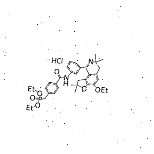 CCOc1cc2c(c3c1OC(C)(C)C3)C(c1cccc(NC(=O)c3ccc(CP(=O)(OCC)OCC)cc3)c1)=NC(C)(C)C2.Cl